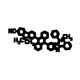 CN1C(c2ccccc2)=c2c(nc3ccc(-c4c5ccccc5c(-c5ccc6c(c5)C(C)(C)c5cc(C#N)ccc5-6)c5ccccc45)cn23)=C2C=CC=CC21